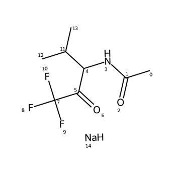 CC(=O)NC(C(=O)C(F)(F)F)C(C)C.[NaH]